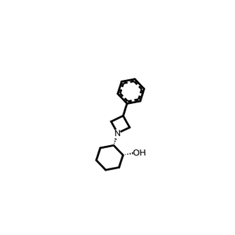 O[C@@H]1CCCC[C@@H]1N1CC(c2ccccc2)C1